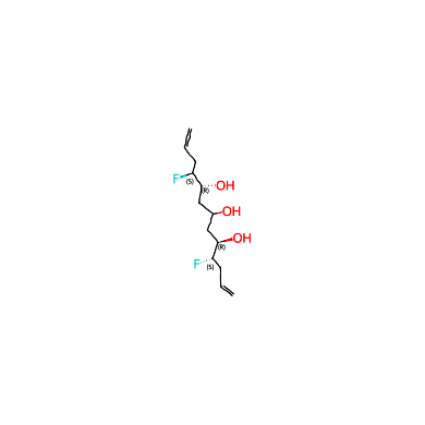 C=CC[C@H](F)[C@H](O)CC(O)C[C@@H](O)[C@@H](F)CC=C